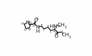 CCC(=O)C(CCCCNC(=O)C1=NCCC1)NC